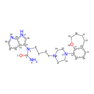 NC(=O)N(CCCCN1CCN(c2cccc3c2OCCCC3)CC1)c1c[nH]c2ncccc12